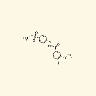 CCS(=O)(=O)c1ccc(CNC(=O)c2ccc(I)c(OC)c2)cc1